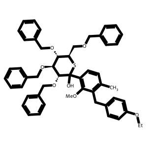 CCOc1ccc(Cc2c(C)ccc(C3(O)S[C@H](COCc4ccccc4)[C@@H](OCc4ccccc4)[C@H](OCc4ccccc4)[C@H]3OCc3ccccc3)c2OC)cc1